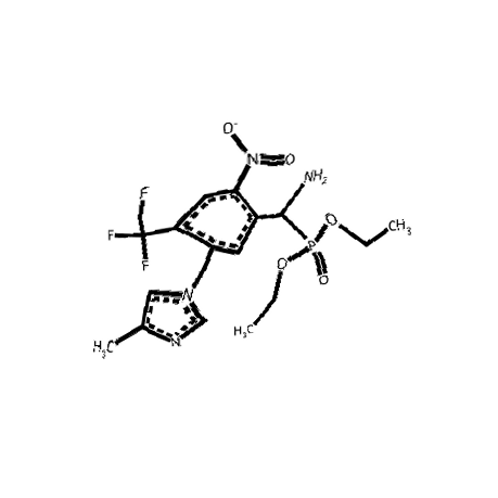 CCOP(=O)(OCC)C(N)c1cc(-n2cnc(C)c2)c(C(F)(F)F)cc1[N+](=O)[O-]